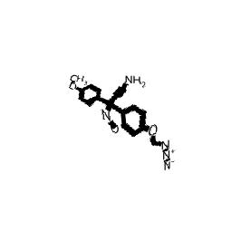 COc1ccc(C(C#CN)(N=O)C2C=CC(OCN=[N+]=[N-])=CC2)cc1